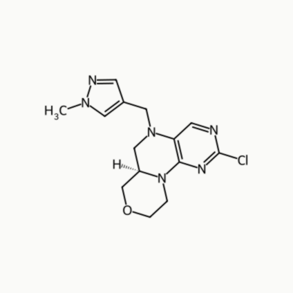 Cn1cc(CN2C[C@@H]3COCCN3c3nc(Cl)ncc32)cn1